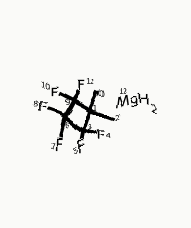 CC1(C)C(F)(F)C(F)(F)C1(F)F.[MgH2]